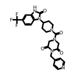 O=C(N1CCC(n2c(=O)[nH]c3cc(C(F)(F)F)ccc32)CC1)N1CC(=O)N(Cc2ccncc2)C(=O)C1